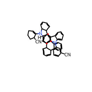 N#Cc1cccc(-n2c3ccccc3c3cccc(C4C=CC=CC4c4ccccc4C4=CC5C6C=CC=CC6N(C6=CCCCC6C#N)[C@H]5CC4)c32)c1